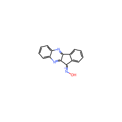 O/N=C1\c2ccccc2-c2nc3ccccc3nc21